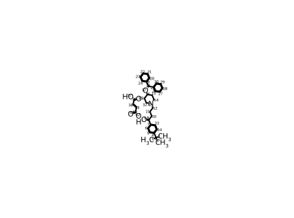 CC(C)(C)c1ccc(C(=O)CCCN2CCC(OC(c3ccccc3)c3ccccc3)CC2)cc1.O=C(O)C=CC(=O)O